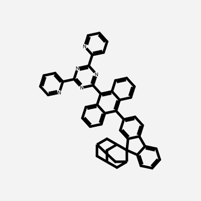 c1ccc(-c2nc(-c3ccccn3)nc(-c3c4ccccc4c(-c4ccc5c(c4)C4(c6ccccc6-5)C5CC6CC(C5)CC4C6)c4ccccc34)n2)nc1